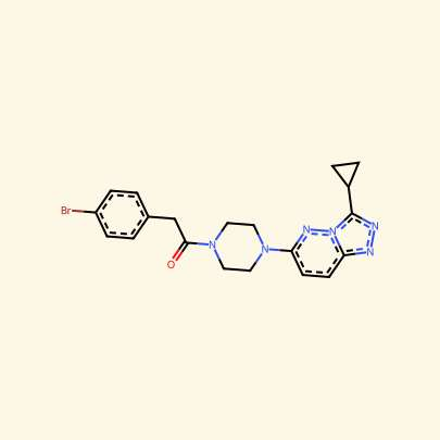 O=C(Cc1ccc(Br)cc1)N1CCN(c2ccc3nnc(C4CC4)n3n2)CC1